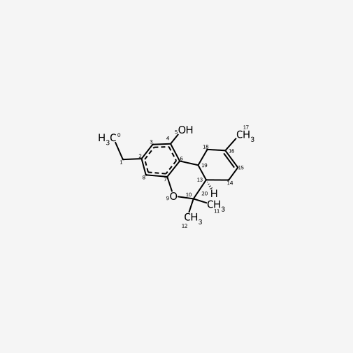 CCc1cc(O)c2c(c1)OC(C)(C)[C@@H]1CC=C(C)CC21